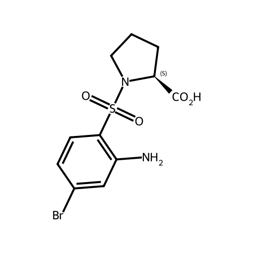 Nc1cc(Br)ccc1S(=O)(=O)N1CCC[C@H]1C(=O)O